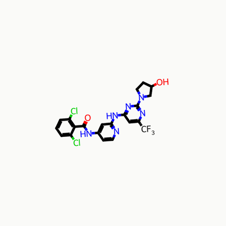 O=C(Nc1ccnc(Nc2cc(C(F)(F)F)nc(N3CCC(O)C3)n2)c1)c1c(Cl)cccc1Cl